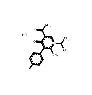 Cc1c(-c2ccc(F)cc2)c(=O)c(C(N)=O)cn1C(C)C.Cl